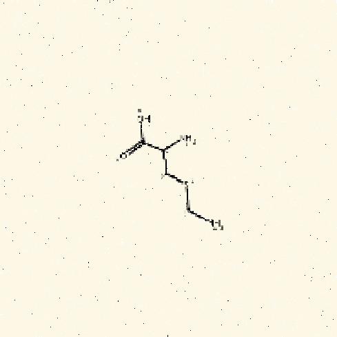 NCSCC(N)C(=O)O